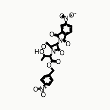 CC(O)C(C(=O)OCc1ccc([N+](=O)[O-])cc1)N1C(=O)C(N2C(=O)c3ccc([N+](=O)[O-])cc3C2=O)C1C=O